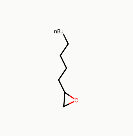 CCCCCCCCC1CO1